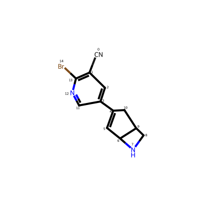 N#Cc1cc(C2=CC3NCC3C2)cnc1Br